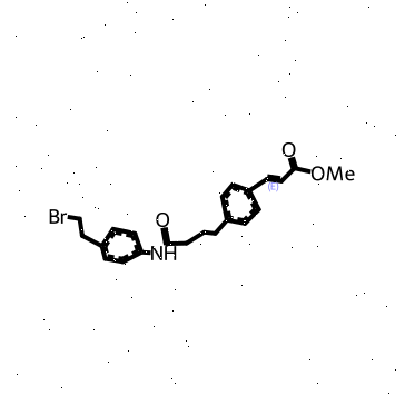 COC(=O)/C=C/c1ccc(CCCC(=O)Nc2ccc(CCBr)cc2)cc1